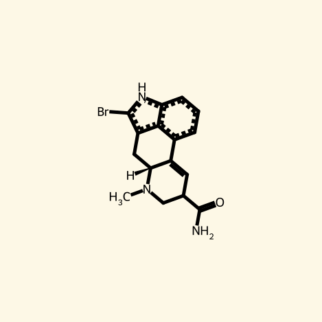 CN1CC(C(N)=O)C=C2c3cccc4[nH]c(Br)c(c34)C[C@H]21